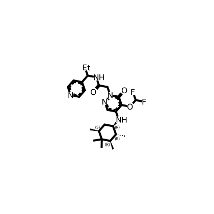 CCC(NC(=O)Cn1ncc(N[C@@H]2C[C@H](C)C(C)(C)[C@H](C)[C@H]2C)c(OC(F)F)c1=O)c1ccncc1